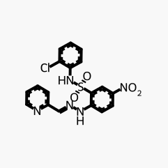 O=[N+]([O-])c1ccc(N/N=C/c2ccccn2)c(S(=O)(=O)Nc2ccccc2Cl)c1